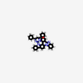 c1ccc(-c2cc(-c3ccccc3)nc(-n3c4ccccc4c4ccc5c(c6ccccc6c6nc7ccccc7n56)c43)n2)cc1